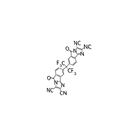 [C-]#[N+]c1nc2n(c1[N+]#[C-])C(=O)c1cc(C(c3ccc4c(c3)-c3nc(C#N)c(C#N)n3C4=O)(C(F)(F)F)C(F)(F)F)ccc1-2